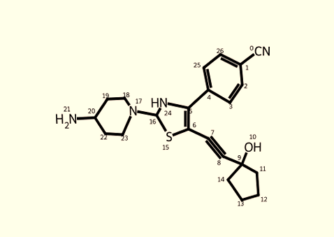 N#Cc1ccc(C2=C(C#CC3(O)CCCC3)SC(N3CCC(N)CC3)N2)cc1